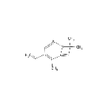 C=CC1=C(C)C2=CC(C)(C)N2N=C1